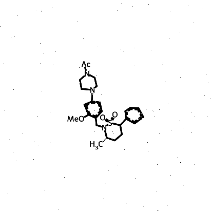 COc1cc(N2CCN(C(C)=O)CC2)ccc1CN1[C@@H](C)CCC(c2ccccc2)S1(=O)=O